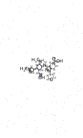 CN1CCN(c2nn(C3CCOCC3)c3c2CN(C(=O)O)CC3)c2cc(/C=N/O)c(-c3cnn(C)c3)cc21